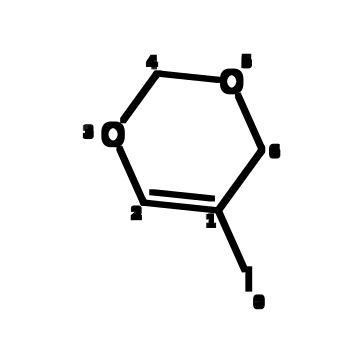 IC1=COCOC1